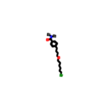 CCN(CC)C(=O)c1ccc(CCCCOCCCCCCBr)cc1